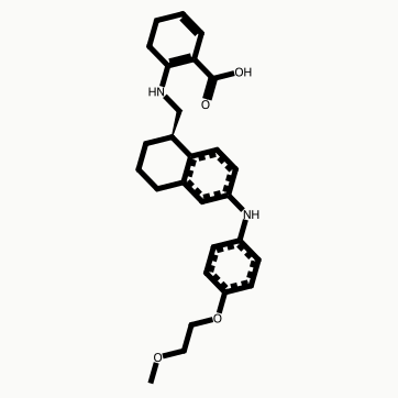 COCCOc1ccc(Nc2ccc3c(c2)CCC[C@H]3CNC2=C(C(=O)O)C=CCC2)cc1